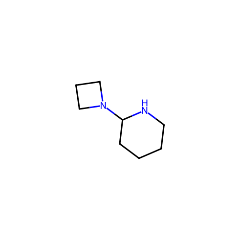 C1CCC(N2CCC2)NC1